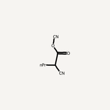 CCCC(C#N)C(=O)OC#N